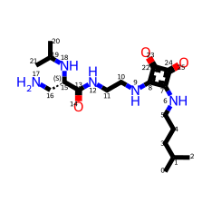 CC(C)CCCNc1c(NCCNC(=O)[C@H](CN)NC(C)C)c(=O)c1=O